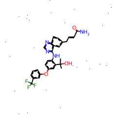 CC(C)(O)c1cc(Oc2cccc(C(F)(F)F)c2)ccc1Nc1ncnc2ccc(CC=CC(N)=O)cc12